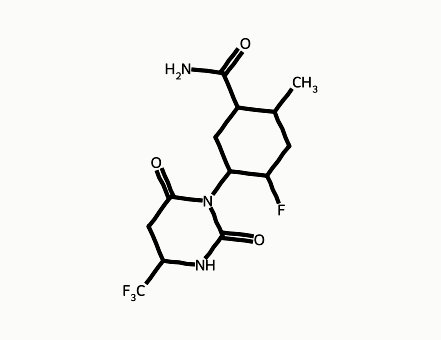 CC1CC(F)C(N2C(=O)CC(C(F)(F)F)NC2=O)CC1C(N)=O